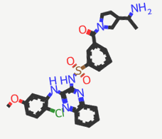 COc1ccc(Cl)c(Nc2nc3ccccc3nc2NS(=O)(=O)c2cccc(C(=O)N3CCC(C(C)N)C3)c2)c1